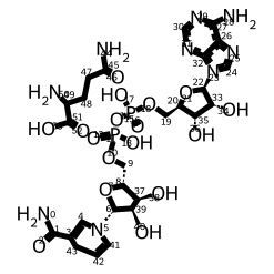 NC(=O)C1=CN([C@@H]2O[C@H](COP(=O)(O)OP(=O)(O)OC[C@H]3O[C@@H](n4cnc5c(N)ncnc54)[C@H](O)[C@@H]3O)[C@@H](O)[C@H]2O)C=CC1.NC(=O)CCC(N)C(=O)O